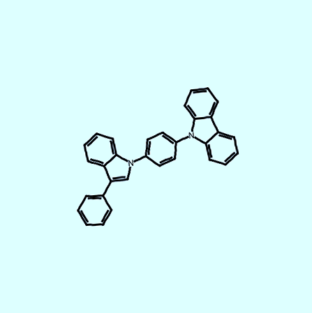 c1ccc(-c2cn(-c3ccc(-n4c5ccccc5c5ccccc54)cc3)c3ccccc23)cc1